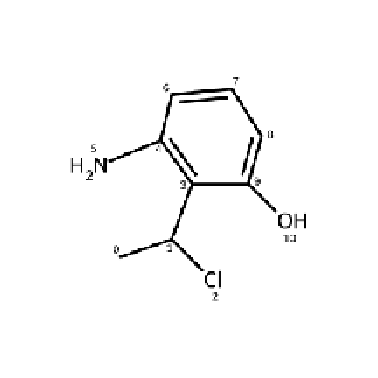 CC(Cl)c1c(N)cccc1O